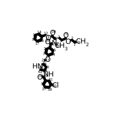 C=CCOC(=O)CC[C@@H](C(=O)OCc1ccccc1)N(C)C(=O)c1ccc(OC[C@@H]2C[C@@H](NC(=O)c3cccc(Cl)c3)CN2)cc1